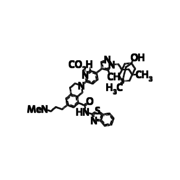 CNCCCc1cc2c(c(C(=O)Nc3nc4ccccc4s3)c1)CN(c1ccc(-c3cnn(CC45CC6(C)CC(C)(CC(O)(C6)C4)C5)c3C)c(C(=O)O)n1)CC2